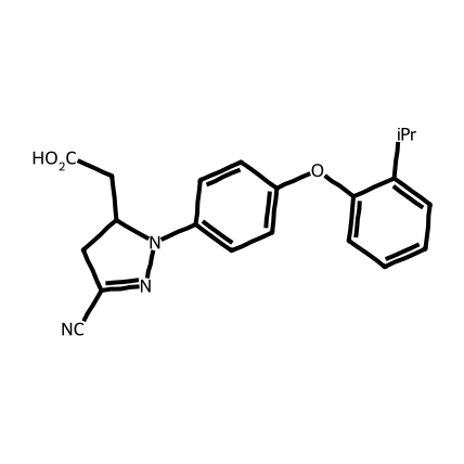 CC(C)c1ccccc1Oc1ccc(N2N=C(C#N)CC2CC(=O)O)cc1